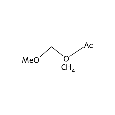 C.COCOC(C)=O